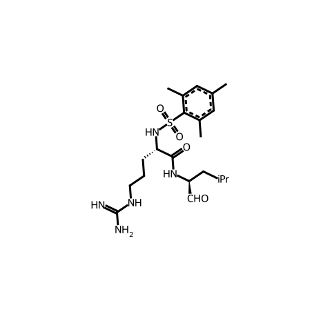 Cc1cc(C)c(S(=O)(=O)N[C@@H](CCCNC(=N)N)C(=O)N[C@H](C=O)CC(C)C)c(C)c1